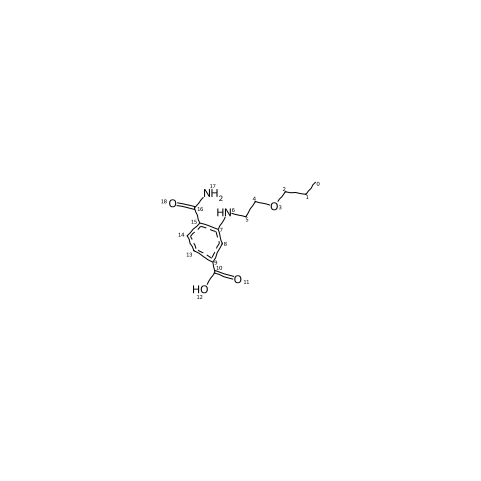 CCCOCCNc1cc(C(=O)O)ccc1C(N)=O